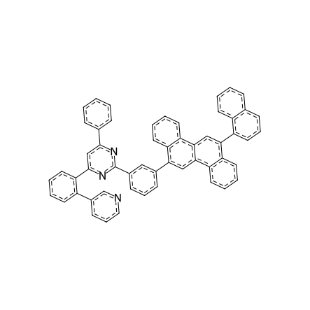 c1ccc(-c2cc(-c3ccccc3-c3cccnc3)nc(-c3cccc(-c4cc5c6ccccc6c(-c6cccc7ccccc67)cc5c5ccccc45)c3)n2)cc1